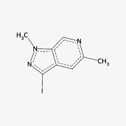 Cc1cc2c(I)nn(C)c2cn1